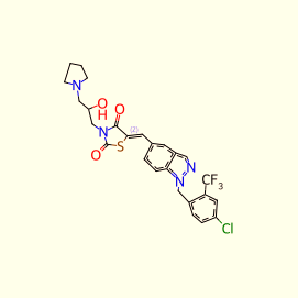 O=C1S/C(=C\c2ccc3c(cnn3Cc3ccc(Cl)cc3C(F)(F)F)c2)C(=O)N1CC(O)CN1CCCC1